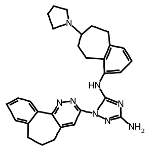 Nc1nc(Nc2cccc3c2CCC(N2CCCC2)CC3)n(-c2cc3c(nn2)-c2ccccc2CCC3)n1